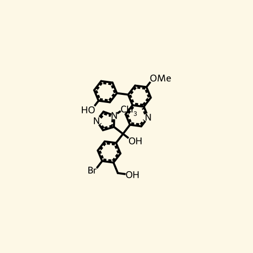 COc1cc(-c2cccc(O)c2)c2cc(C(O)(c3ccc(Br)c(CO)c3)c3cncn3C)cnc2c1